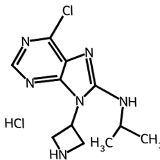 CC(C)Nc1nc2c(Cl)ncnc2n1C1CNC1.Cl